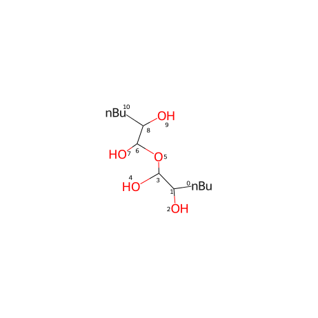 CCCCC(O)C(O)OC(O)C(O)CCCC